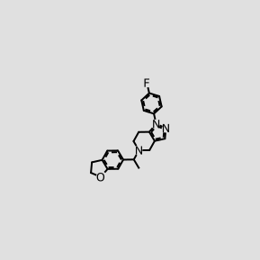 CC(c1ccc2c(c1)OCC2)N1CCc2c(cnn2-c2ccc(F)cc2)C1